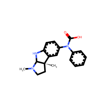 CN1CC[C@]2(C)c3cc(N(C(=O)O)c4ccccc4)ccc3NC12